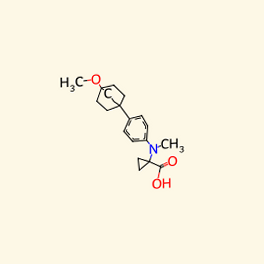 COC12CCC(c3ccc(N(C)C4(C(=O)O)CC4)cc3)(CC1)CC2